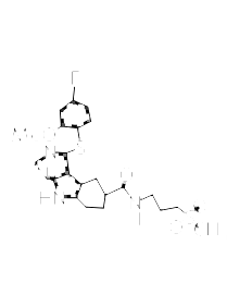 COc1cc(F)ccc1Sc1ncnc2[nH]c3c(c12)CC(C(=O)NCCCS(C)(=O)=O)CC3